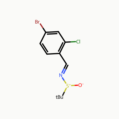 CC(C)(C)[S+]([O-])N=Cc1ccc(Br)cc1Cl